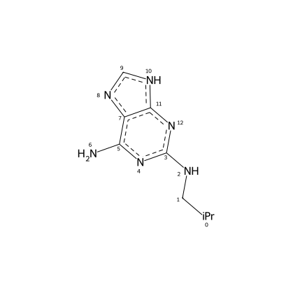 CC(C)CNc1nc(N)c2nc[nH]c2n1